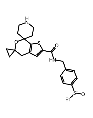 CC[S+]([O-])c1ccc(CNC(=O)c2cc3c(s2)C2(CCNCC2)OC2(CC2)C3)cc1